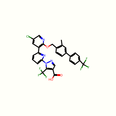 Cc1cc(-c2ccc(C(F)(F)F)cc2)ccc1COc1ncc(Cl)cc1-c1cccc(-n2ncc(C(=O)O)c2C(F)(F)F)n1